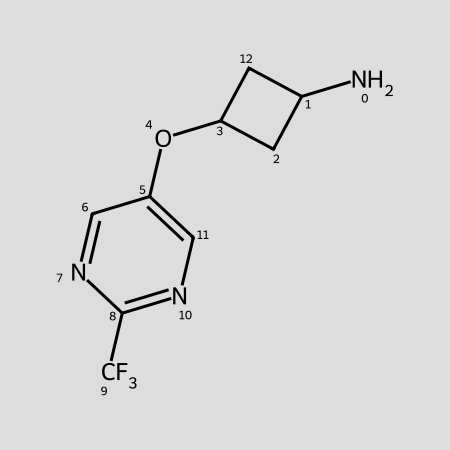 NC1CC(Oc2cnc(C(F)(F)F)nc2)C1